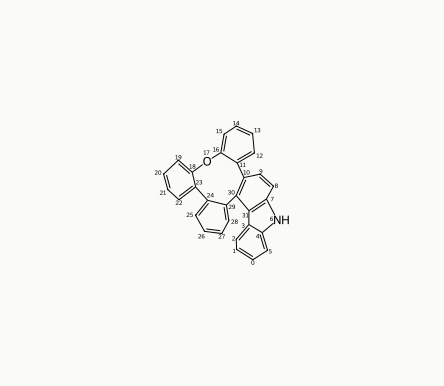 c1ccc2c(c1)[nH]c1ccc3c4ccccc4oc4ccccc4c4ccccc4c3c12